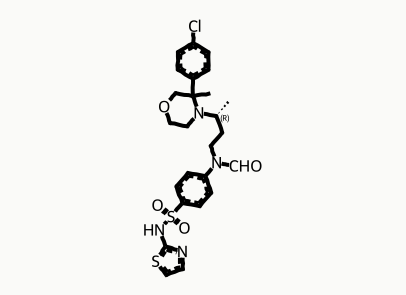 C[C@H](CCN(C=O)c1ccc(S(=O)(=O)Nc2nccs2)cc1)N1CCOCC1(C)c1ccc(Cl)cc1